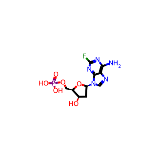 Nc1nc(F)nc2c1ncn2[C@H]1C[C@@H](O)[C@@H](COP(=O)(O)O)O1